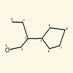 CCC(CCl)C1CCCC1